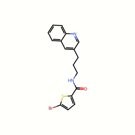 O=C(NCCCc1cnc2ccccc2c1)c1ccc(Br)s1